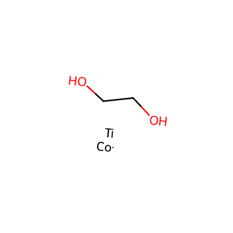 OCCO.[Co].[Ti]